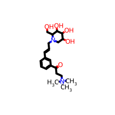 C[N+](C)(C)CCC(=O)c1cccc(/C=C/CN2CC(O)C(O)C(O)C2CO)c1